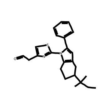 CCC(C)(C)C1CCc2c(cc(-c3ccccc3)n2-c2nc(CC=O)cs2)C1